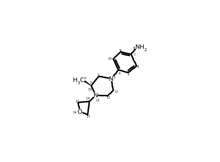 C[C@H]1CN(c2ccc(N)cc2)CCN1C1COC1